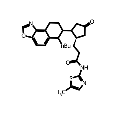 CCCCC1c2ccc3ocnc3c2CCC1C1CC(=O)C[C@H]1CCC(=O)Nc1ncc(C)s1